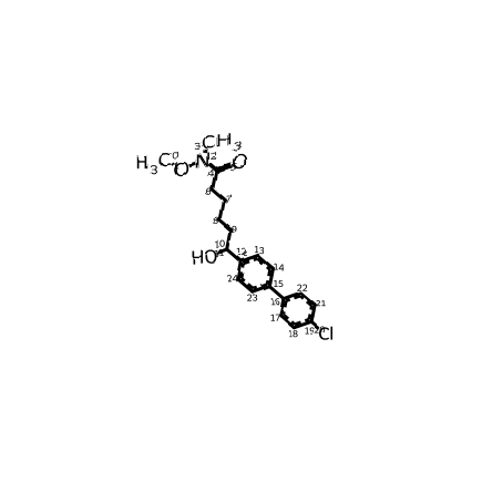 CON(C)C(=O)CCCCC(O)c1ccc(-c2ccc(Cl)cc2)cc1